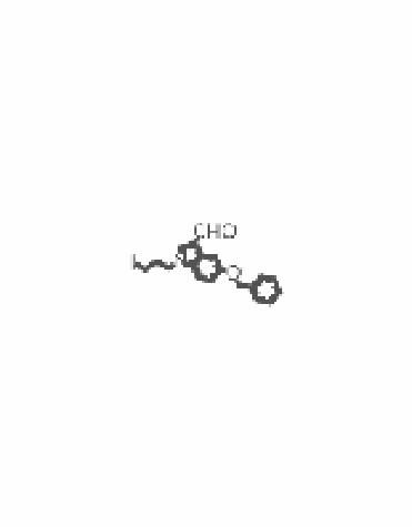 O=Cc1cn(CCCI)c2ccc(OCc3ccccc3)cc12